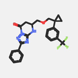 O=C1CC(COCC2(c3cccc(C(F)(F)F)c3)CC2)Nc2nc(-c3ccccc3)nn21